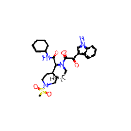 CS(=O)(=O)N1CCC(C(C(=O)NC2CCCCC2)N(CC(=O)O)C(=O)C(=O)c2c[nH]c3ccccc23)CC1